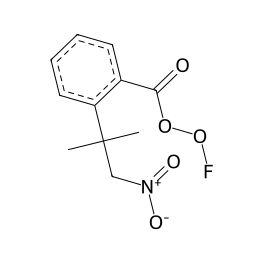 CC(C)(C[N+](=O)[O-])c1ccccc1C(=O)OOF